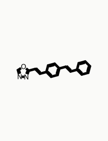 C(=C\c1ccc(/C=C/c2nnco2)cc1)/c1ccccc1